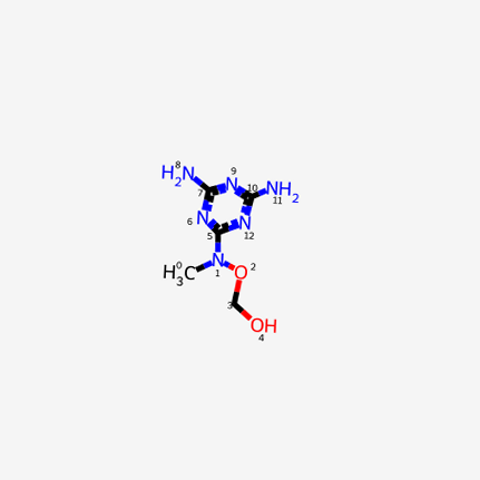 CN(OCO)c1nc(N)nc(N)n1